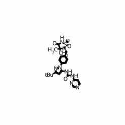 CC(C)(C)c1cc(NC(=O)Nc2ccncn2)n(-c2ccc(CN3C(C)(C)C(=O)NS3(=O)=O)cc2)n1